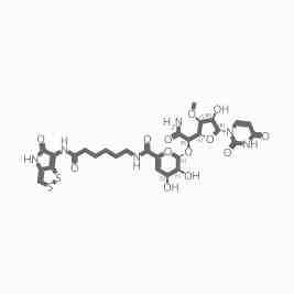 CO[C@H]1[C@@H](O)[C@H](n2ccc(=O)[nH]c2=O)O[C@@H]1[C@@H](O[C@H]1OC(C(=O)NCCCCCC(=O)Nc2c3sscc-3[nH]c2=O)=C[C@H](O)[C@@H]1O)C(N)=O